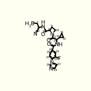 BCC(C#N)NC(=O)C1CCN1C(=O)C(NC(=O)c1ccc(-n2ccnc2)c(F)c1)C1CC1